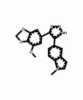 COc1cc(-c2nn[nH]c2-c2ccc3c(ccn3C)c2)cc2c1OCO2